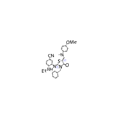 CCNc1ccc(C#N)cc1/N=C1\S/C(=C\N(C)c2ccc(OC)cc2)C(=O)N1Cc1ccccc1